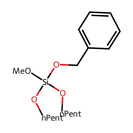 CCCCCO[Si](OC)(OCCCCC)OCc1ccccc1